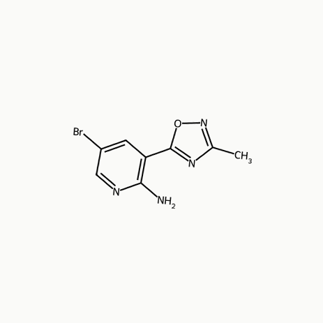 Cc1noc(-c2cc(Br)cnc2N)n1